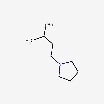 CCCCC(C)CCN1CCCC1